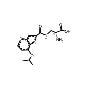 CC(C)Oc1ccnc2cc(C(=O)NC[C@@H](N)C(=O)O)sc12